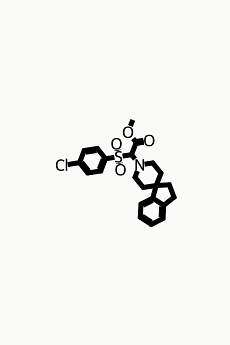 COC(=O)C(N1CCC2(CCc3ccccc32)CC1)S(=O)(=O)c1ccc(Cl)cc1